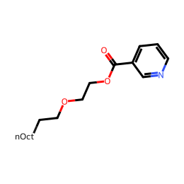 CCCCCCCCCCOCCOC(=O)c1cccnc1